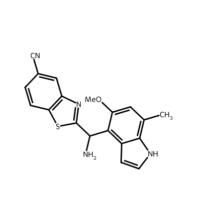 COc1cc(C)c2[nH]ccc2c1C(N)c1nc2cc(C#N)ccc2s1